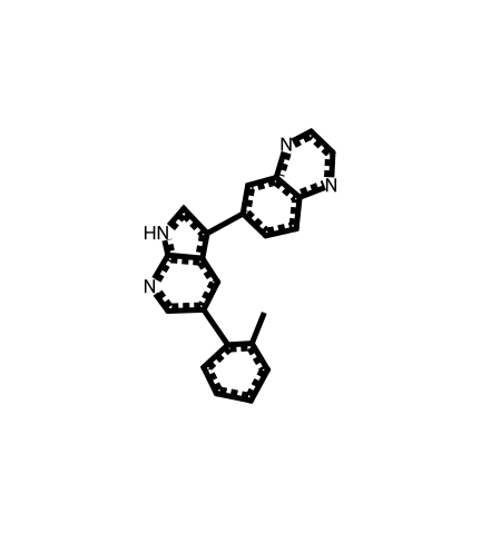 Cc1ccccc1-c1cnc2[nH]cc(-c3ccc4nccnc4c3)c2c1